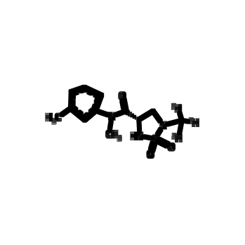 [2H]C([2H])([2H])N1C[C@@H](C(=O)N(C)c2cccc(C)c2)NS1(=O)=O